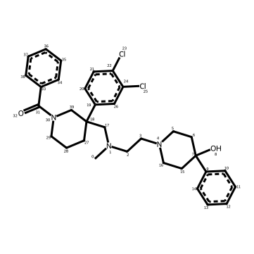 CN(CCN1CCC(O)(c2ccccc2)CC1)CC1(c2ccc(Cl)c(Cl)c2)CCCN(C(=O)c2ccccc2)C1